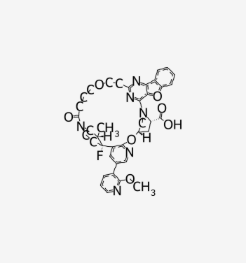 COc1ncccc1-c1cnc2c(c1)[C@@]1(F)CCN(C[C@@H]1C)C(=O)CCCOCCc1nc(c3oc4ccccc4c3n1)N1C[C@H](C[C@H]1C(=O)O)O2